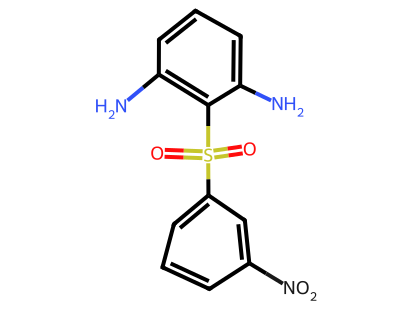 Nc1cccc(N)c1S(=O)(=O)c1cccc([N+](=O)[O-])c1